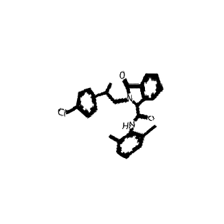 Cc1cccc(C)c1NC(=O)C1c2ccccc2C(=O)N1CC(C)c1ccc(Cl)cc1